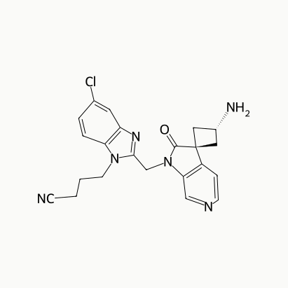 N#CCCCn1c(CN2c3cnccc3[C@]3(C[C@@H](N)C3)C2=O)nc2cc(Cl)ccc21